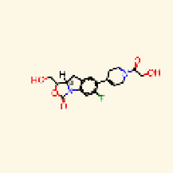 O=C(CO)N1CC=C(c2cc3c(cc2F)N2C(=O)OC(CO)[C@@H]2C3)CC1